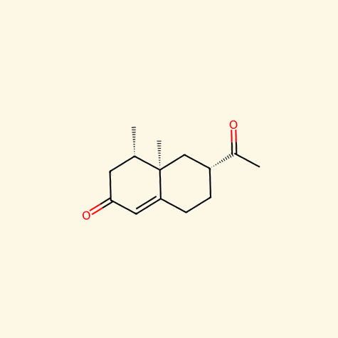 CC(=O)[C@@H]1CCC2=CC(=O)C[C@H](C)[C@@]2(C)C1